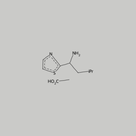 CC(=O)O.CC(C)CC(N)c1nccs1